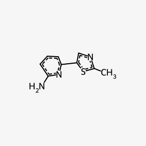 Cc1ncc(-c2cccc(N)n2)s1